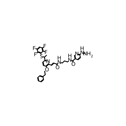 CC(Sc1c(F)c(F)cc(F)c1F)c1ccc(OCCc2ccccc2)c(C=CC(=O)NCCCNC(=O)c2ccc(NN)nc2)n1